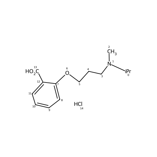 CC(C)N(C)CCCOc1ccccc1C(=O)O.Cl